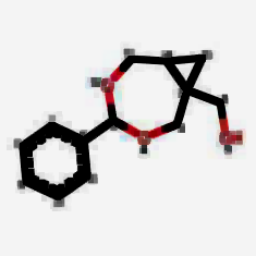 OCC12COC(c3ccccc3)OCC1C2